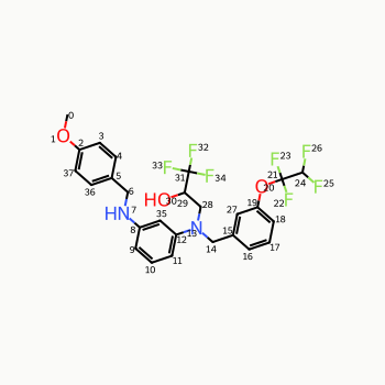 COc1ccc(CNc2cccc(N(Cc3cccc(OC(F)(F)C(F)F)c3)CC(O)C(F)(F)F)c2)cc1